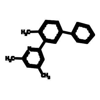 Cc1cc(C)nc(-c2cc(-c3ccccc3)ccc2C)c1